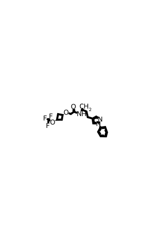 C=C(CCc1cnn(-c2ccccc2)c1)NC(=O)CO[C@H]1C[C@@H](OC(F)(F)F)C1